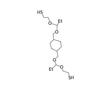 CCC(OCCS)OCC1CCC(COC(CC)OCCS)CC1